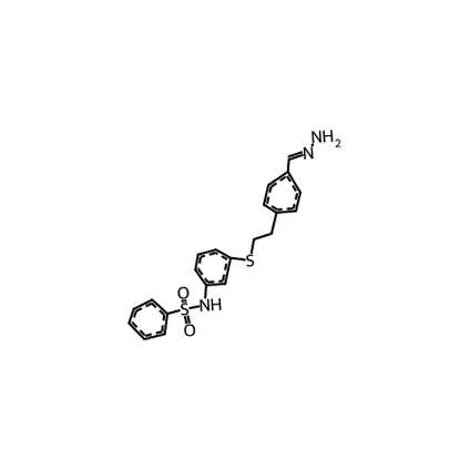 NN=Cc1ccc(CCSc2cccc(NS(=O)(=O)c3ccccc3)c2)cc1